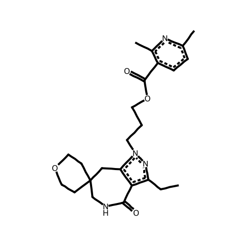 CCc1nn(CCCOC(=O)c2ccc(C)nc2C)c2c1C(=O)NCC1(CCOCC1)C2